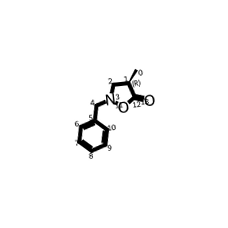 C[C@@H]1CN(Cc2ccccc2)OC1=O